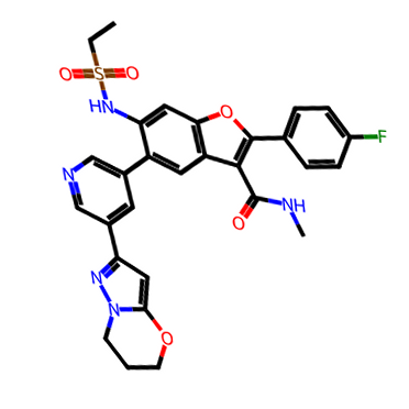 CCS(=O)(=O)Nc1cc2oc(-c3ccc(F)cc3)c(C(=O)NC)c2cc1-c1cncc(-c2cc3n(n2)CCCO3)c1